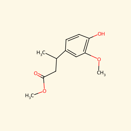 COC(=O)CC(C)c1ccc(O)c(OC)c1